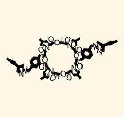 CC#Cc1cnn(Cc2ccc(C[C@H]3OC(=O)[C@H](CC(C)C)N(C)C(=O)[C@@H](C)OC(=O)[C@H](CC(C)C)N(C)C(=O)[C@@H](Cc4ccc(Cn5cc(C#CC)cn5)cc4)OC(=O)[C@H](CC(C)C)N(C)C(=O)[C@@H](C)OC(=O)[C@H](CC(C)C)N(C)C3=O)cc2)c1